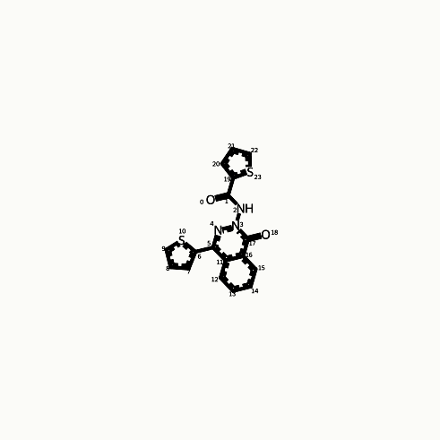 O=C(Nn1nc(-c2cccs2)c2ccccc2c1=O)c1cccs1